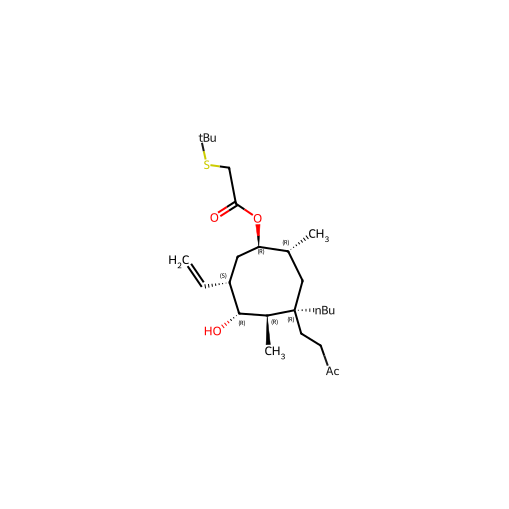 C=C[C@@H]1C[C@@H](OC(=O)CSC(C)(C)C)[C@H](C)C[C@@](CCCC)(CCC(C)=O)[C@@H](C)[C@@H]1O